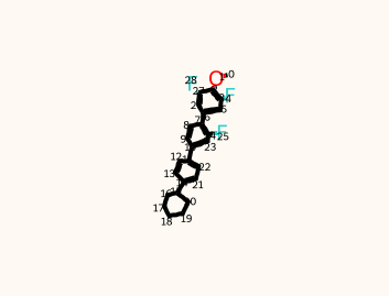 COc1c(F)cc(-c2ccc(-c3ccc(C4CCCCC4)cc3)cc2F)cc1F